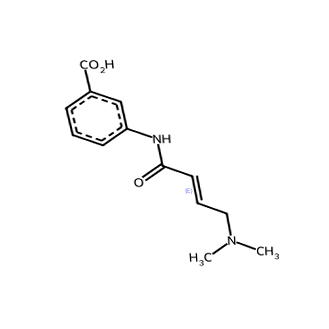 CN(C)C/C=C/C(=O)Nc1cccc(C(=O)O)c1